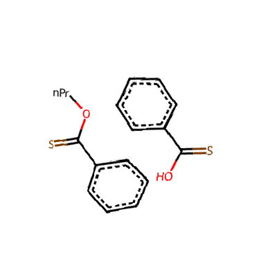 CCCOC(=S)c1ccccc1.OC(=S)c1ccccc1